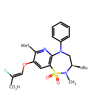 CCCC[C@@H]1CN(c2ccccc2)c2nc(SC)c(O/C=C(\F)C(=O)O)cc2S(=O)(=O)N1C